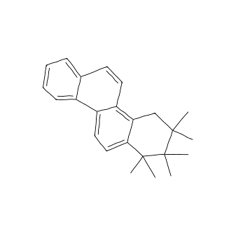 CC1(C)Cc2c(ccc3c2ccc2ccccc23)C(C)(C)C1(C)C